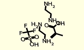 C=C(C)C(=O)O.NCCN.NCCN.O=S(=O)(O)C(F)(F)F